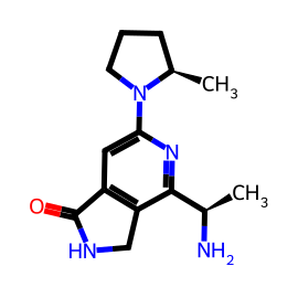 C[C@@H]1CCCN1c1cc2c(c([C@@H](C)N)n1)CNC2=O